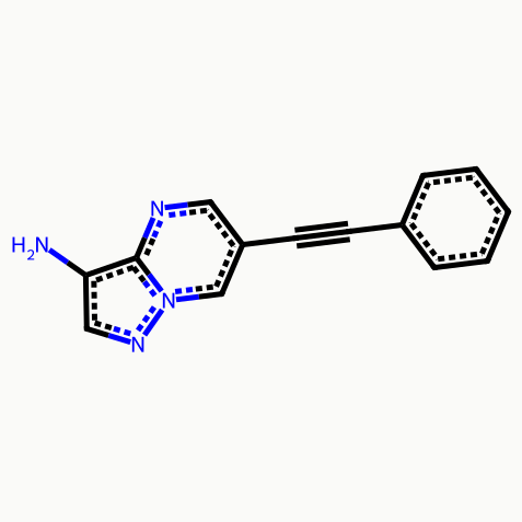 Nc1cnn2cc(C#Cc3ccccc3)cnc12